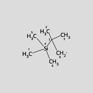 [CH2]C(C)(C)[Si](C)(C)C